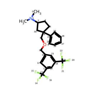 CN(C)C1CCC(COCc2cc(C(F)(F)F)cc(C(F)(F)F)c2)(c2ccccc2)C1